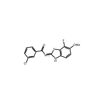 COc1ccc2[nH]/c(=N/C(=O)c3cccc(Cl)c3)sc2c1F